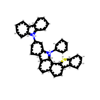 c1ccc(-n2c3cc(-n4c5ccccc5c5ccccc54)ccc3c3ccc4ccc5c6ccccc6sc5c4c32)cc1